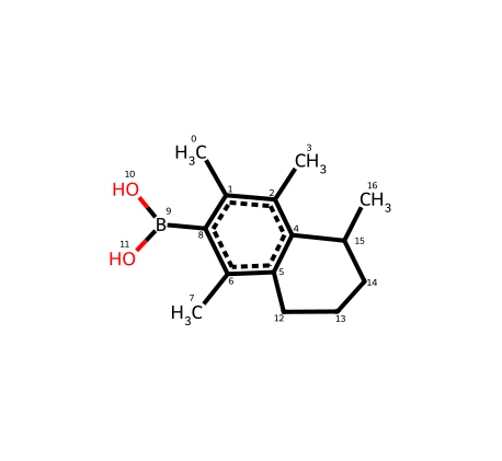 Cc1c(C)c2c(c(C)c1B(O)O)CCCC2C